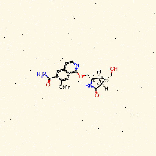 COc1cc2c(OC[C@H]3NC(=O)[C@@H]4[C@@H](CO)[C@@H]43)nccc2cc1C(N)=O